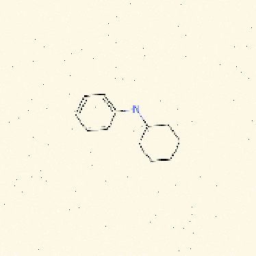 c1ccc([N]C2CCCCC2)cc1